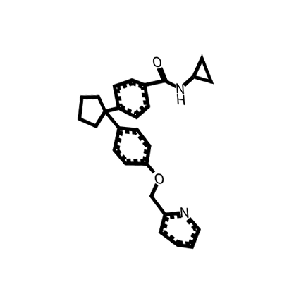 O=C(NC1CC1)c1ccc(C2(c3ccc(OCc4ccccn4)cc3)CCCC2)cc1